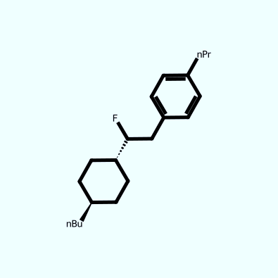 [CH2]CCC[C@H]1CC[C@H](C(F)Cc2ccc(CCC)cc2)CC1